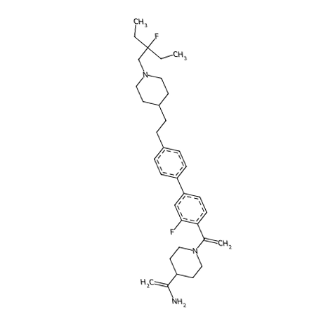 C=C(N)C1CCN(C(=C)c2ccc(-c3ccc(CCC4CCN(CC(F)(CC)CC)CC4)cc3)cc2F)CC1